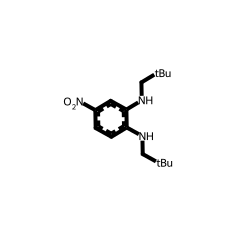 CC(C)(C)CNc1ccc([N+](=O)[O-])cc1NCC(C)(C)C